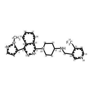 Cn1nccc1-c1nnc(N2CCC(NCc3cnccc3C(F)(F)F)CC2)c2ccccc12